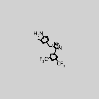 Cc1cc(Cn2nnnc2-c2cc(C(F)(F)F)cc(C(F)(F)F)c2)ccc1N